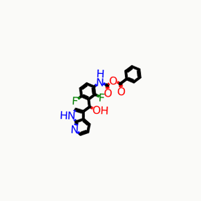 O=C(Nc1ccc(F)c(C(O)c2c[nH]c3ncccc23)c1F)OC(=O)c1ccccc1